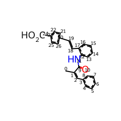 CC(=Cc1ccccc1)C(=O)Nc1ccccc1C=Cc1ccc(C(=O)O)cc1